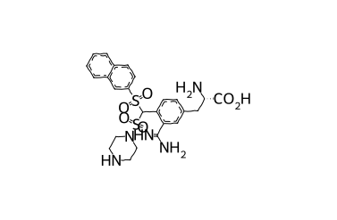 N=C(N)c1cc(C[C@H](N)C(=O)O)ccc1C(S(=O)(=O)c1ccc2ccccc2c1)S(=O)(=O)N1CCNCC1